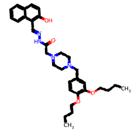 CCCCOc1ccc(CN2CCN(CC(=O)N/N=C/c3c(O)ccc4ccccc34)CC2)cc1OCCCC